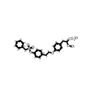 CCOC(=O)C(Cc1ccc(OCCc2ccc(OS(=O)(=O)Cc3ccccc3)cc2)cc1)OCC